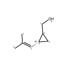 CC(C)=C[C@H]1CC1CO